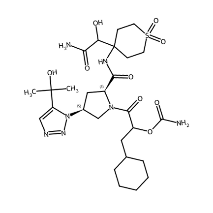 CC(C)(O)c1cnnn1[C@H]1C[C@@H](C(=O)NC2(C(O)C(N)=O)CCS(=O)(=O)CC2)N(C(=O)C(CC2CCCCC2)OC(N)=O)C1